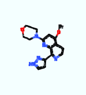 CC(C)Oc1cc(N2CCOCC2)nc2c(-c3cc[nH]n3)nccc12